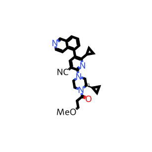 COCCC(=O)N1CCN(c2nc(C3CC3)c(-c3cccc4cnccc34)cc2C#N)C[C@H]1C1CC1